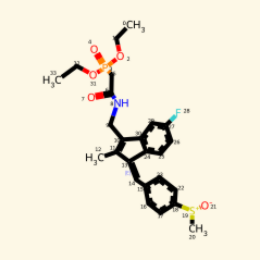 CCOP(=O)(CC(=O)NCC1=C(C)/C(=C/c2ccc([S+](C)[O-])cc2)c2ccc(F)cc21)OCC